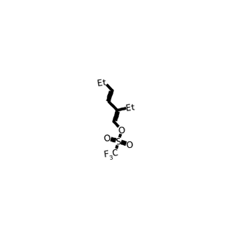 CC/C=C/C(=C/OS(=O)(=O)C(F)(F)F)CC